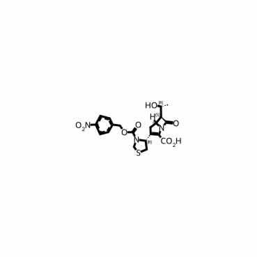 C[C@@H](O)[C@H]1C(=O)N2C(C(=O)O)=C([C@@H]3CSCN3C(=O)OCc3ccc([N+](=O)[O-])cc3)C[C@H]12